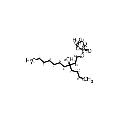 CCCCCCCC(C)(CCCC)CCOP(=O)(OC)OC